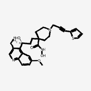 COc1ccc2ncc(CN)c([C@H](O)CCC3(C(=O)NO)CCN(CC#Cc4cccs4)CC3)c2c1